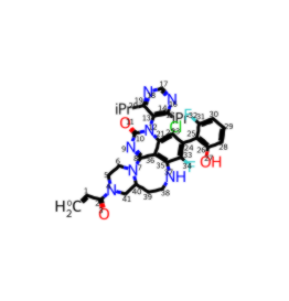 C=CC(=O)N1CCN2c3nc(=O)n(-c4c(C(C)C)ncnc4C(C)C)c4c(Cl)c(-c5c(O)cccc5F)c(F)c(c34)NCCC2C1